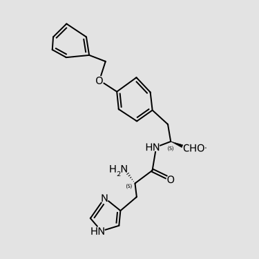 N[C@@H](Cc1c[nH]cn1)C(=O)N[C@H]([C]=O)Cc1ccc(OCc2ccccc2)cc1